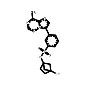 N#CC12CCC(NS(=O)(=O)c3cccc(-c4cnc5c(N)ncnn45)c3)(C1)C2